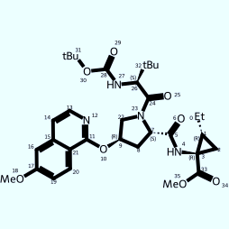 CC[C@@H]1C[C@]1(NC(=O)[C@@H]1C[C@@H](Oc2nccc3cc(OC)ccc23)CN1C(=O)[C@@H](NC(=O)OC(C)(C)C)C(C)(C)C)C(=O)OC